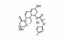 CC[C@](C)(Oc1ccc(C)cc1)C(=O)OC1CC(O)C=C2C=CC(C)C(CC[C@@H]3C[C@@H](O)CC(=O)O3)C21